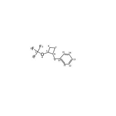 FC(F)(F)OC1CCC1[CH]c1ccccc1